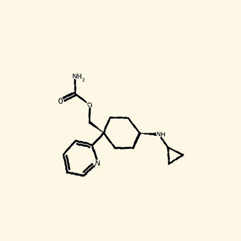 NC(=O)OC[C@]1(c2ccccn2)CC[C@H](NC2CC2)CC1